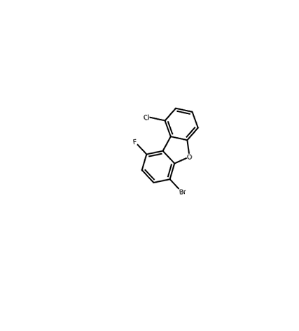 Fc1ccc(Br)c2oc3cccc(Cl)c3c12